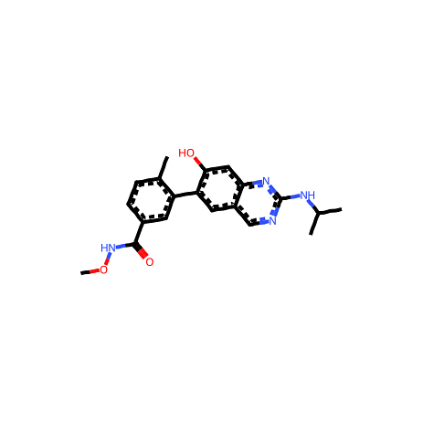 CONC(=O)c1ccc(C)c(-c2cc3cnc(NC(C)C)nc3cc2O)c1